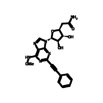 CONc1nc(C#Cc2ccccc2)nc2c1ncn2[C@@H]1O[C@@H](CC(N)=O)[C@H](O)[C@H]1O